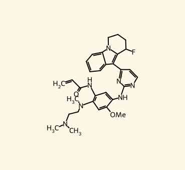 C=CC(=O)Nc1cc(Nc2nccc(-c3c4n(c5ccccc35)CCCC4F)n2)c(OC)cc1N(C)CCN(C)C